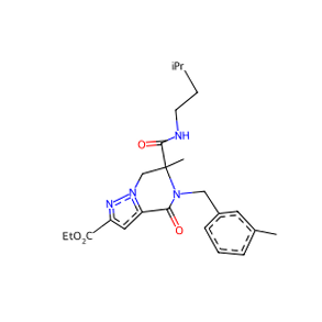 CCOC(=O)c1cc2n(n1)CC(C)(C(=O)NCCC(C)C)N(Cc1cccc(C)c1)C2=O